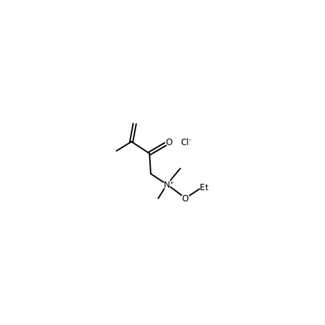 C=C(C)C(=O)C[N+](C)(C)OCC.[Cl-]